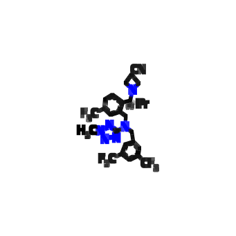 CC(C)[C@H](c1ccc(C(F)(F)F)cc1CN(Cc1cc(C(F)(F)F)cc(C(F)(F)F)c1)c1nnn(C)n1)N1CC(C#N)C1